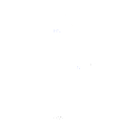 COc1cccc(-c2cn(C(C)C)c3cc(NS(C)(=O)=O)ccc23)c1